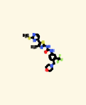 CSc1nccc(-c2sc(NC(=O)Nc3ccc(CN4CCOCC4)c(C(F)(F)F)c3)nc2C)n1